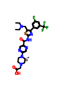 CCN(CC)Cc1sc(NC(=O)c2cnc(N3CCN(CC(=O)O)C[C@H]3C)cn2)nc1-c1cc(F)cc(C(F)(F)F)c1